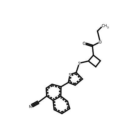 CCOC(=O)C1CCC1Sc1ccc(-c2ccc(C#N)c3ccccc23)s1